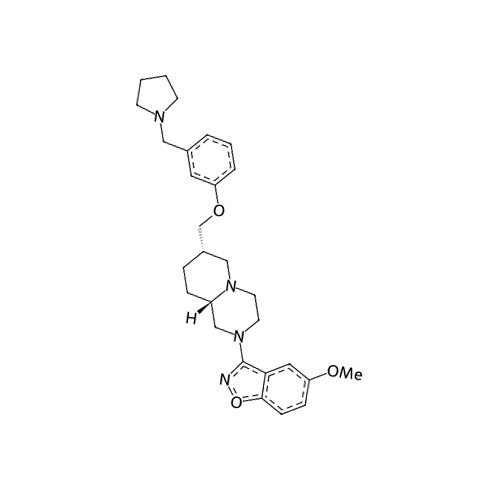 COc1ccc2onc(N3CCN4C[C@@H](COc5cccc(CN6CCCC6)c5)CC[C@H]4C3)c2c1